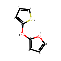 c1coc(Oc2cccs2)c1